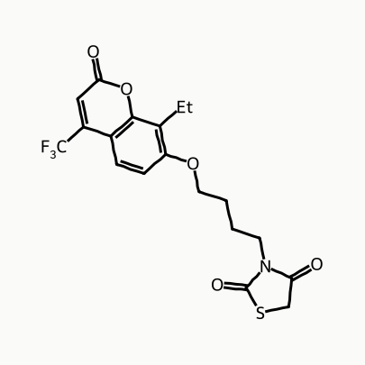 CCc1c(OCCCCN2C(=O)CSC2=O)ccc2c(C(F)(F)F)cc(=O)oc12